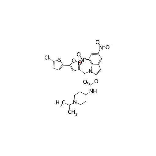 CC(C)N1CCC(NC(=O)Oc2cc3cc([N+](=O)[O-])cc([N+](=O)[O-])c3n2Cc2cc(-c3ccc(Cl)s3)on2)CC1